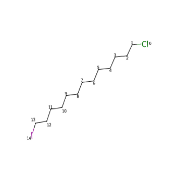 ClCCCCCCCCCCCCCI